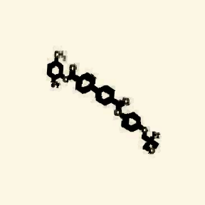 CCC1(COc2ccc(OC(=O)c3ccc(-c4ccc(C(=O)OC5CC(C)CCC5C(C)C)cc4)cc3)cc2)COC1